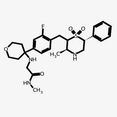 CNC(=O)CNC1(c2ccc(CC3[C@H](C)NC[C@@H](c4ccccc4)S3(=O)=O)c(F)c2)CCOCC1